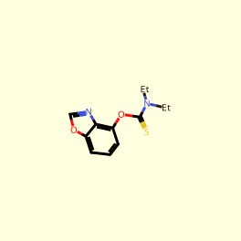 CCN(CC)C(=S)Oc1cccc2ocnc12